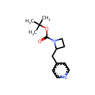 CC(C)(C)OC(=O)N1CCC1Cc1ccncc1